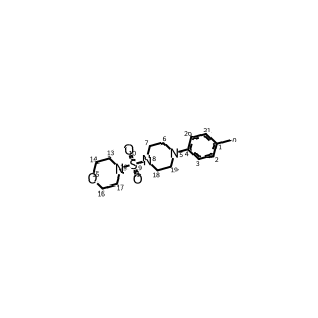 Cc1ccc(N2CCN(S(=O)(=O)N3CCOCC3)CC2)cc1